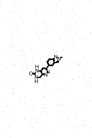 Cn1cc2cc(-c3cc4c(nn3)CNC(=O)N4)ccc2n1